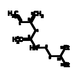 C=CC(=C)CC(=C)NCCC(CC)CC